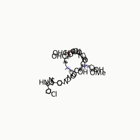 CO[C@@H]1C[C@H](/C=C(\C)[C@H]2OC(=O)[C@@H]3CCCCN3C(=O)C(=O)[C@]3(O)O[C@H]([C@@H](C=O)C[C@@H](C)C/C(C)=C/[C@@H](CC(=O)N4CCN(Cc5ccc(-c6cnc7[nH]cc(-c8cccc(Cl)c8)c7c6)cc5)CC4)C(=O)C[C@H](O)[C@H]2C)[C@@H](C=O)C[C@H]3C)CC[C@H]1O